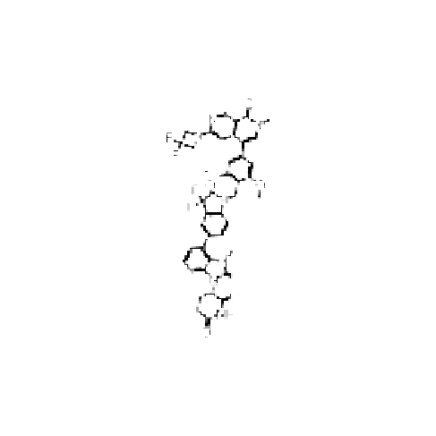 COc1cc(-c2cn(C)c(=O)c3cnc(N4CC(F)(F)C4)cc23)cc(OC)c1CN1C(=O)C(F)(F)c2cc(-c3cccc4c3n(C)c(=O)n4C3CCC(=O)NC3=O)ccc21